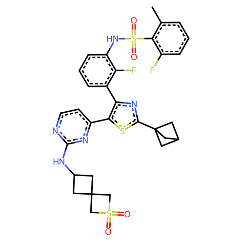 Cc1cccc(F)c1S(=O)(=O)Nc1cccc(-c2nc(C34CC(C3)C4)sc2-c2ccnc(NC3CC4(C3)CS(=O)(=O)C4)n2)c1F